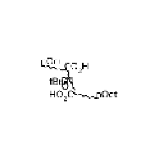 CCCCCCCC/C=C\CCCCCCC(CCCN(CCCC(CCCCCC/C=C\CCCCCCCC)C(=O)O)C(=O)OC(C)(C)C)C(=O)O